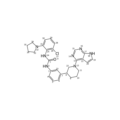 O=C(Nc1cccc(C2CCCN(c3ncnc4[nH]ccc34)C2)c1)Nc1c(Cl)cccc1N1CCCC1